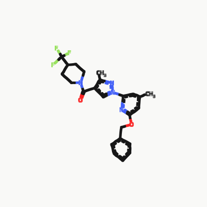 Cc1cc(OCc2ccccc2)nc(-n2cc(C(=O)N3CCC(C(F)(F)F)CC3)c(C)n2)c1